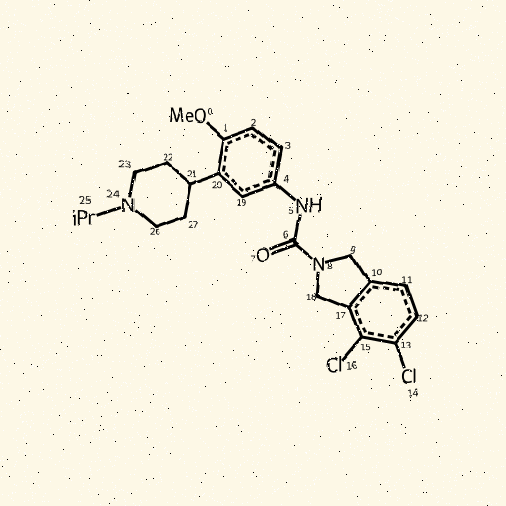 COc1ccc(NC(=O)N2Cc3ccc(Cl)c(Cl)c3C2)cc1C1CCN(C(C)C)CC1